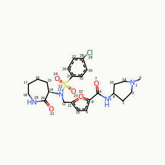 CN1CCC(NC(=O)c2ccc(CN([C@@H]3CCCCNC3=O)S(=O)(=O)c3ccc(Cl)cc3)o2)CC1